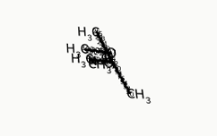 CCCCCCCCCCCCCC(COC(=O)C(CCCCCCCC)CCCCCCCC)OC(=O)CCCCN(C)C